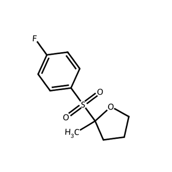 CC1(S(=O)(=O)c2ccc(F)cc2)CCCO1